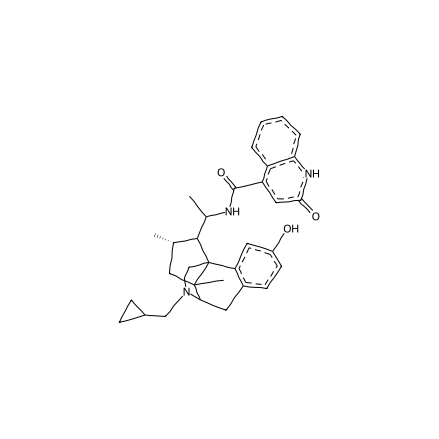 CC(NC(=O)c1cc(=O)[nH]c2ccccc12)C1[C@@H](C)CC2(C)C3Cc4ccc(O)cc4C12CCN3CC1CC1